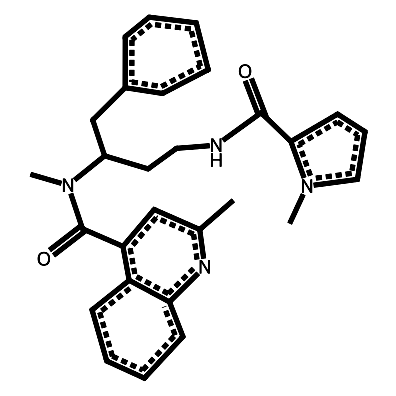 Cc1cc(C(=O)N(C)C(CCNC(=O)c2cccn2C)Cc2ccccc2)c2ccccc2n1